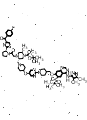 Cc1n[nH]c(Nc2ncnc3cc(OCC4CCN(c5ncc(OC6CCN(C[C@H]7CN(C(=O)OC(C)(C)C)[C@@H](C)CN7CC(=O)N7CCC[C@H]7c7nc(C(=O)c8ccc(F)cc8)cs7)CC6)cn5)CC4)c(S(=O)(=O)C(C)(C)C)cc23)c1C